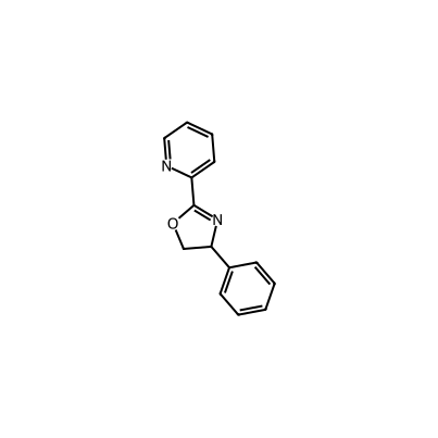 c1ccc(C2COC(c3ccccn3)=N2)cc1